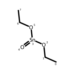 CC[O][Sn](=[O])[O]CC